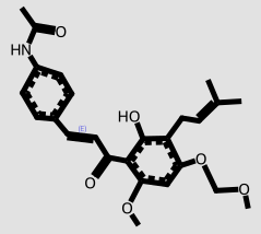 COCOc1cc(OC)c(C(=O)/C=C/c2ccc(NC(C)=O)cc2)c(O)c1CC=C(C)C